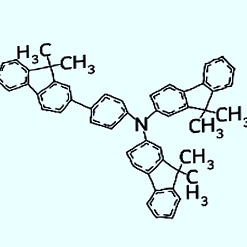 CC1(C)c2ccccc2-c2ccc(-c3ccc(N(c4ccc5c(c4)C(C)(C)c4ccccc4-5)c4ccc5c(c4)C(C)(C)c4ccccc4-5)cc3)cc21